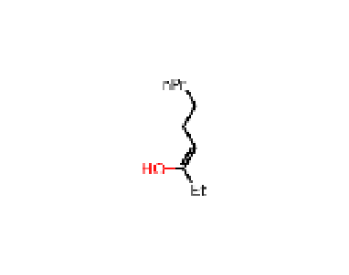 CCCCC/C=C(\O)CC